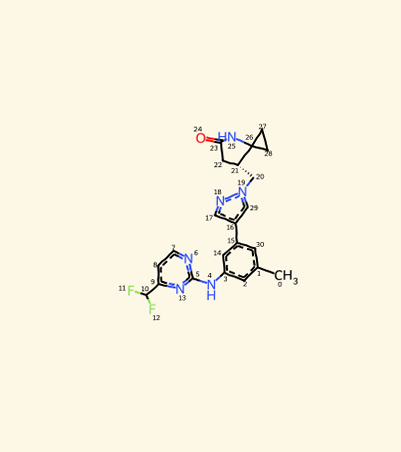 Cc1cc(Nc2nccc(C(F)F)n2)cc(-c2cnn(C[C@@H]3CC(=O)NC34CC4)c2)c1